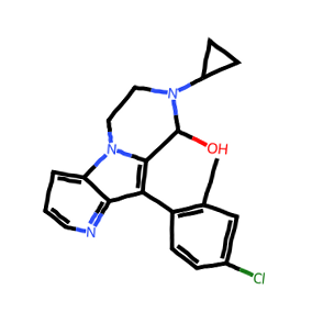 Cc1cc(Cl)ccc1-c1c2n(c3cccnc13)CCN(C1CC1)C2O